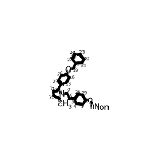 CCCCCCCCCOc1ccc(CCn2c(C)ccc2-c2ccc(OCc3ccccc3)cc2)cc1